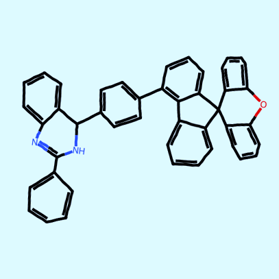 c1ccc(C2=Nc3ccccc3C(c3ccc(-c4cccc5c4-c4ccccc4C54c5ccccc5Oc5ccccc54)cc3)N2)cc1